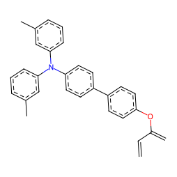 C=CC(=C)Oc1ccc(-c2ccc(N(c3cccc(C)c3)c3cccc(C)c3)cc2)cc1